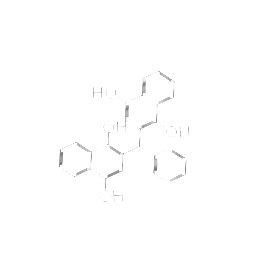 Oc1cc(C(c2ccccc2)c2cc(O)c3ccccc3c2O)c(O)c2ccccc12